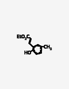 CCOC(=O)C=Cc1cc(C)ccc1O